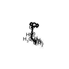 COC(C)(N)CCOC(C)(C)CCNC(=O)CCCCC(=O)N1Cc2ccccc2CCc2ccccc21